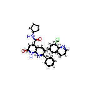 O=C(NC1CCCC1)c1cc(=O)[nH]c2nc(-c3ccccc3)c(-c3cc(Cl)c4ncccc4c3)cc12